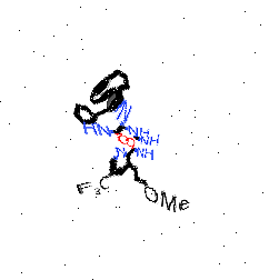 COCCCc1cc(C(F)(F)F)cnc1C(=N)OC(=N)NC1N=C(c2ccccc2)c2ccccc2NC1=O